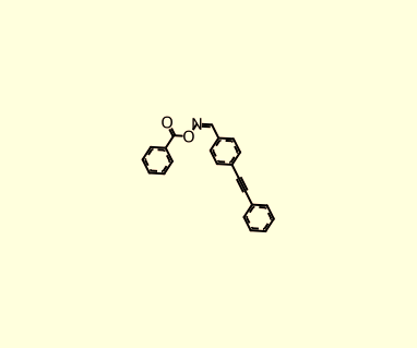 O=C(O/N=C\c1ccc(C#Cc2ccccc2)cc1)c1ccccc1